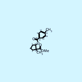 COC(=O)C1(C)CCCC1OC(=O)c1ccc(C)cc1